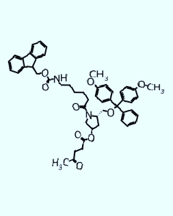 COc1ccc(C(OC[C@@H]2C[C@@H](OC(=O)CCC(C)=O)CN2C(=O)CCCCCNC(=O)OCC2c3ccccc3-c3ccccc32)(c2ccccc2)c2ccc(OC)cc2)cc1